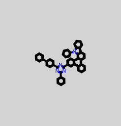 c1ccc(-c2ccc(-c3nc(-c4ccccc4)nc(-c4ccc5c(c4)c4ccccc4c4ccc6c7ccccc7n(-c7ccccc7)c6c45)n3)cc2)cc1